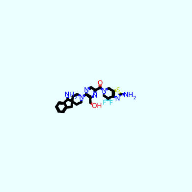 Nc1nc2c(s1)CN(C(=O)c1cnc(N3CCC4(CC3)Cc3ccccc3C4N)c(CO)n1)CC2(F)F